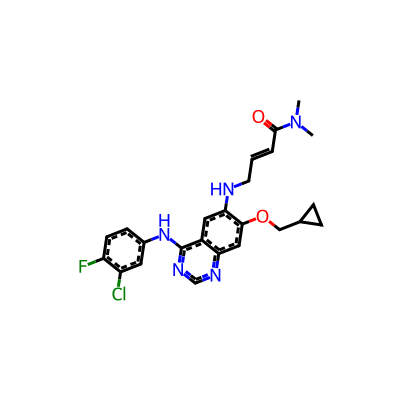 CN(C)C(=O)C=CCNc1cc2c(Nc3ccc(F)c(Cl)c3)ncnc2cc1OCC1CC1